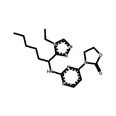 CCCCCC(Nc1nccc(N2CCOC2=O)n1)c1nncn1CC